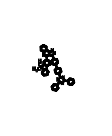 CC1(C)c2ccccc2-c2ccc(-c3nc4ccccc4c4nnc(-c5ccc(-c6ccc(-c7nc(-c8ccccc8)nc(-c8ccccc8)n7)cc6)cc5)n34)cc21